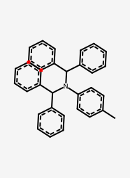 Cc1ccc(N(C(c2ccccc2)c2ccccc2)C(c2ccccc2)c2ccccc2)cc1